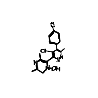 CC1=NC(C)=C(c2nnc(C)c(-c3ccc(Cl)cc3)c2Cl)N(O)C1